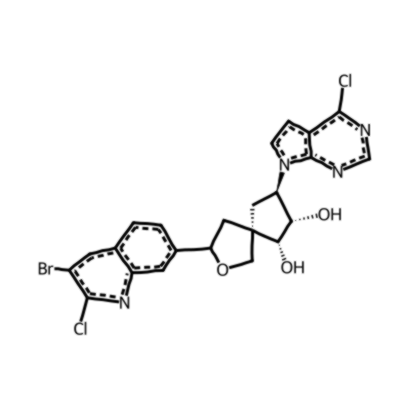 O[C@H]1[C@H](n2ccc3c(Cl)ncnc32)C[C@@]2(COC(c3ccc4cc(Br)c(Cl)nc4c3)C2)[C@H]1O